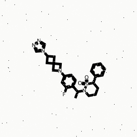 CC(c1ccc(N2CC3(CC(n4cnnc4)C3)C2)cc1F)N1CCCC(c2ccccc2)S1(=O)=O